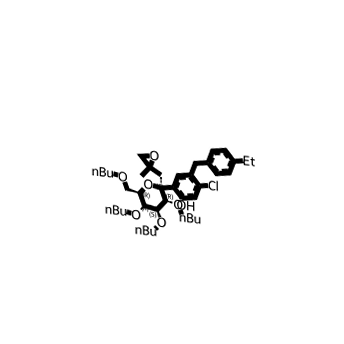 CCCCOC[C@H]1O[C@@](CC2(C)CO2)(c2cc(Cc3ccc(CC)cc3)c(Cl)cc2O)[C@H](OCCCC)[C@@H](OCCCC)[C@@H]1OCCCC